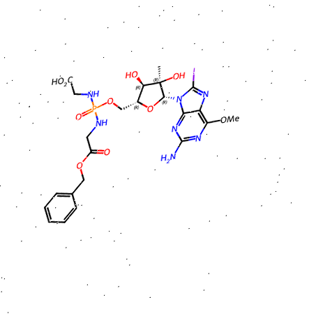 COc1nc(N)nc2c1nc(I)n2[C@@H]1O[C@H](COP(=O)(NCC(=O)O)NCC(=O)OCc2ccccc2)[C@@H](O)[C@@]1(C)O